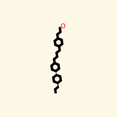 CCC[C@H]1CC[C@H](C2CCC(CCCCC3CCC(CCC=O)CC3)CC2)CC1